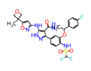 C[C@H](Oc1cc(-c2n[nH]c(Nc3cc(C4(C)COC4)on3)c2C(N)=O)ccc1NS(=O)(=O)C(F)F)c1ccc(F)cc1